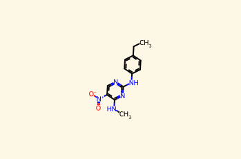 CCc1ccc(Nc2ncc([N+](=O)[O-])c(NC)n2)cc1